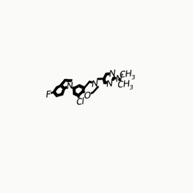 CN(C)c1ncc(CN2CCOc3c(Cl)cc(-n4ccc5cc(F)ccc54)cc3C2)cn1